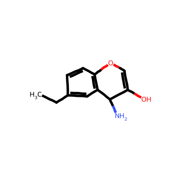 CCc1ccc2c(c1)C(N)C(O)=CO2